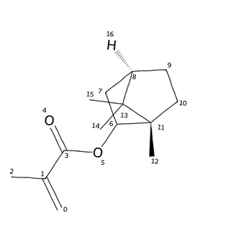 C=C(C)C(=O)OC1C[C@H]2CC[C@@]1(C)C2(C)C